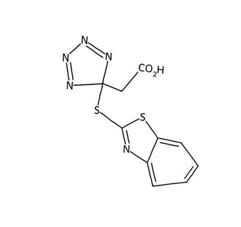 O=C(O)CC1(Sc2nc3ccccc3s2)N=NN=N1